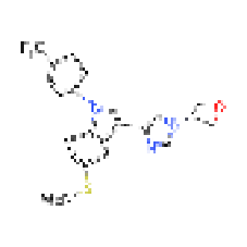 CNSc1ccc2c(c1)c(-c1cn(C3COC3)cn1)cn2-c1ccc(C(F)(F)F)cc1